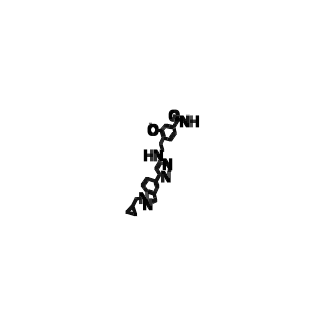 CNC(=O)c1ccc(CCNc2cc(-c3ccc4c(cnn4CC4CC4)c3)ncn2)c(OC)c1